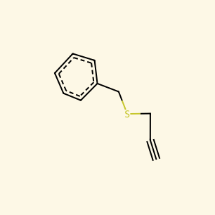 C#CCSCc1ccccc1